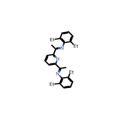 CCc1cccc(CC)c1/N=C(\C)c1cccc(/C(C)=N/c2c(CC)cccc2CC)n1